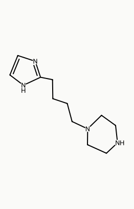 c1c[nH]c(CCCCN2CCNCC2)n1